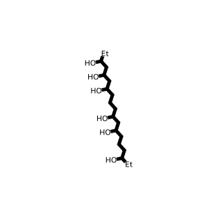 CCC(O)CCCC(O)CC(O)CCCC(O)CC(O)CC(O)CC